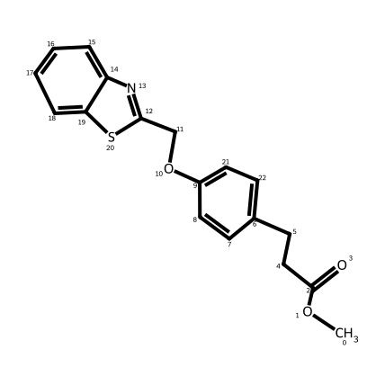 COC(=O)CCc1ccc(OCc2nc3ccccc3s2)cc1